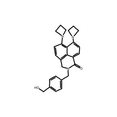 O=C1c2ccc(N3CCC3)c3c(N4CCC4)ccc(c23)CN1Cc1ccc(CO)cc1